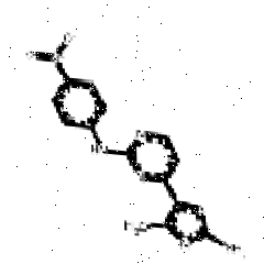 Cc1nc(N)sc1-c1ccnc(Nc2ccc([N+](=O)[O-])cc2)n1